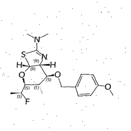 COc1ccc(CO[C@H]2[C@H](C)[C@@H]([C@H](C)F)O[C@@H]3SC(N(C)C)=N[C@H]23)cc1